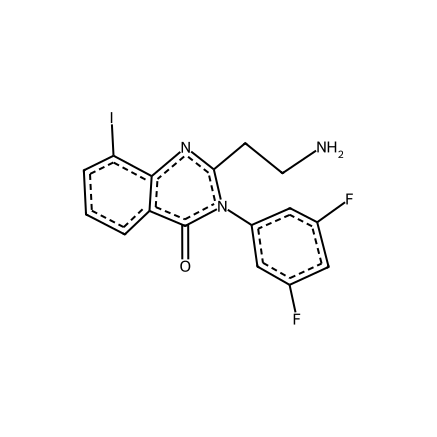 NCCc1nc2c(I)cccc2c(=O)n1-c1cc(F)cc(F)c1